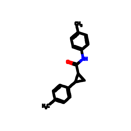 Cc1ccc(NC(=O)C2CC2c2ccc(C)cc2)cc1